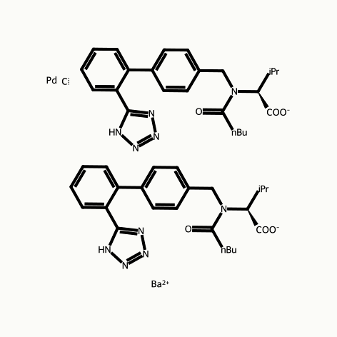 CCCCC(=O)N(Cc1ccc(-c2ccccc2-c2nnn[nH]2)cc1)[C@H](C(=O)[O-])C(C)C.CCCCC(=O)N(Cc1ccc(-c2ccccc2-c2nnn[nH]2)cc1)[C@H](C(=O)[O-])C(C)C.[Ba+2].[C].[Pd]